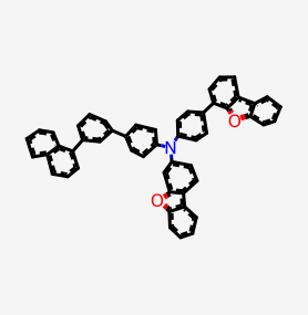 c1cc(-c2ccc(N(c3ccc(-c4cccc5c4oc4ccccc45)cc3)c3ccc4c(c3)oc3ccccc34)cc2)cc(-c2cccc3ccccc23)c1